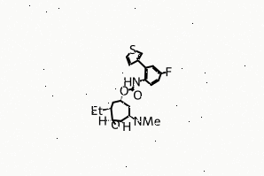 CC[C@H]1C[C@H](OC(=O)Nc2ccc(F)cc2-c2ccsc2)C[C@@H](NC)[C@H]2O[C@@H]12